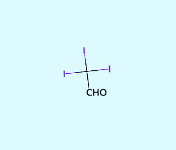 O=CC(I)(I)I